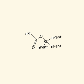 [CH2]CCC(=O)O[Si](CCCCC)(CCCCC)CCCCC